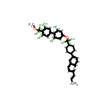 C/C=C/c1ccc2cc(C3CCC(C(F)(F)Oc4cc(F)c(-c5cc(F)c(C(F)(F)OC(F)(F)F)c(F)c5)c(F)c4)CC3)ccc2c1